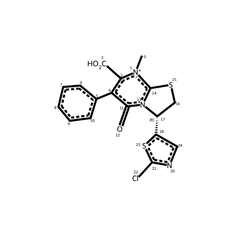 C[n+]1c(C(=O)O)c(-c2ccccc2)c(=O)n2c1SC[C@@H]2c1cnc(Cl)s1